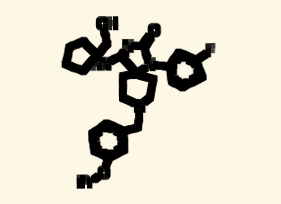 CC(C)Oc1cccc(CN2CCC3(CC2)C(NC2(CO)CCCC2)=NC(=O)N3c2cccc(F)c2)c1